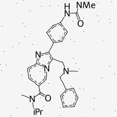 CNC(=O)Nc1ccc(-c2nc3ccc(C(=O)N(C)C(C)C)cn3c2CN(C)Cc2ccccc2)cc1